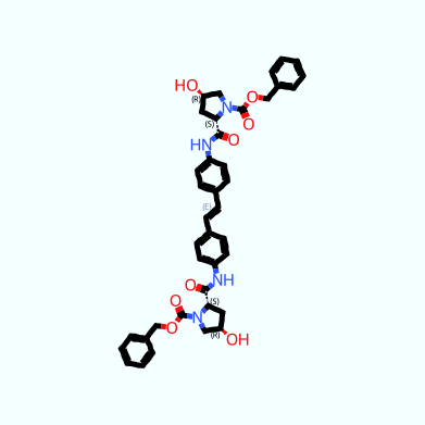 O=C(Nc1ccc(/C=C/c2ccc(NC(=O)[C@@H]3C[C@@H](O)CN3C(=O)OCc3ccccc3)cc2)cc1)[C@@H]1C[C@@H](O)CN1C(=O)OCc1ccccc1